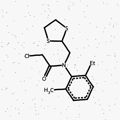 CCc1cccc(C)c1N(CC1SCCS1)C(=O)CCl